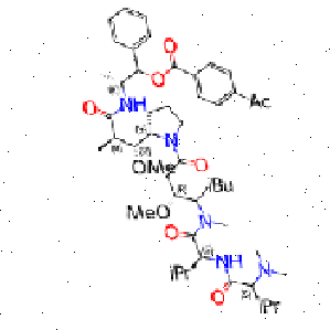 CCC(C)C([C@@H](CC(=O)N1CCC[C@H]1[C@H](OC)[C@@H](C)C(=O)N[C@H](C)C(OC(=O)c1ccc(C(C)=O)cc1)c1ccccc1)OC)N(C)C(=O)[C@@H](NC(=O)[C@H](C(C)C)N(C)C)C(C)C